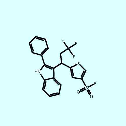 O=S(=O)(F)c1csc(C(CC(F)(F)F)c2c(-c3ccccc3)[nH]c3ccccc23)c1